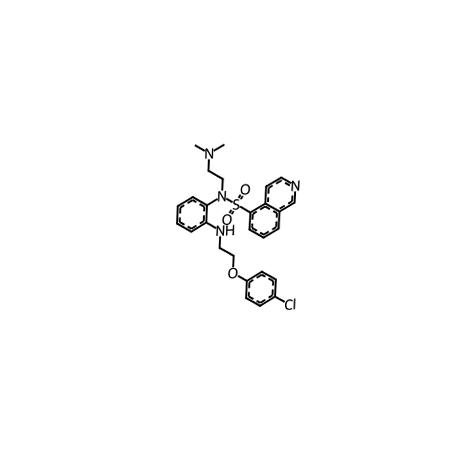 CN(C)CCN(c1ccccc1NCCOc1ccc(Cl)cc1)S(=O)(=O)c1cccc2cnccc12